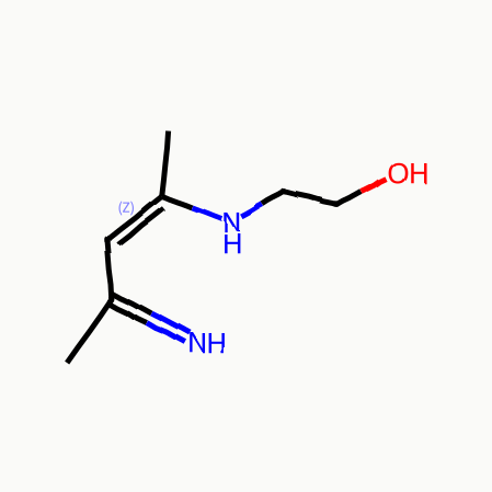 CC(=N)/C=C(/C)NCCO